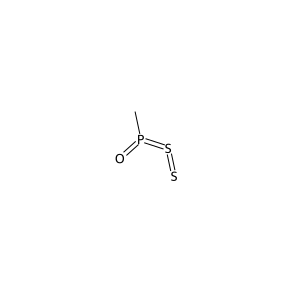 CP(=O)=S=S